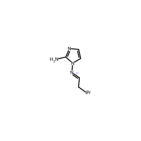 CC(C)C/C=N/n1ccnc1N